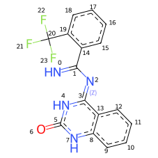 N=C(/N=c1\[nH]c(=O)[nH]c2ccccc12)c1ccccc1C(F)(F)F